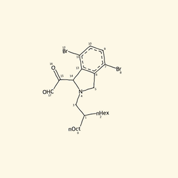 CCCCCCCCC(CCCCCC)CN1Cc2c(Br)ccc(Br)c2C1C(=O)C=O